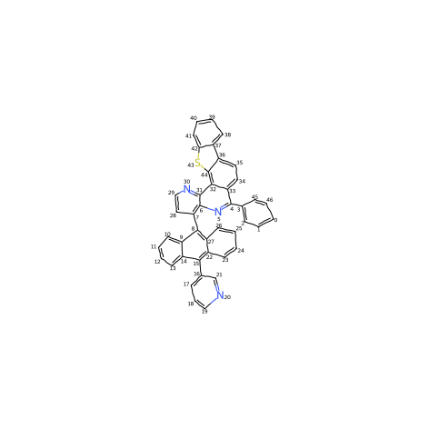 c1ccc(-c2nc3c(-c4c5ccccc5c(-c5cccnc5)c5ccccc45)ccnc3c3c2ccc2c4ccccc4sc23)cc1